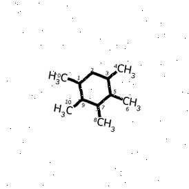 CC1CC(C)C(C)C(C)C1C